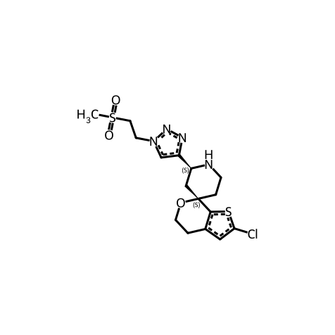 CS(=O)(=O)CCn1cc([C@@H]2C[C@]3(CCN2)OCCc2cc(Cl)sc23)nn1